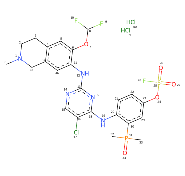 CN1CCc2cc(OC(F)F)c(Nc3ncc(Cl)c(Nc4ccc(OS(=O)(=O)F)cc4P(C)(C)=O)n3)cc2C1.Cl.Cl